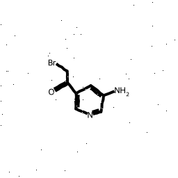 Nc1cncc(C(=O)CBr)c1